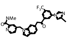 CNC(=O)c1cc(Cn2ccc3ccc(CC(=O)c4cc(-n5cnc(C)c5)cc(C(F)(F)F)c4)cc32)ccn1